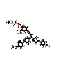 CC(=O)c1ccc(-c2ccc(C(=CCSc3ccc(OCC(=O)O)c(Cl)c3)c3ccc(-c4ccc(C(C)=O)cc4)cc3)cc2)cc1